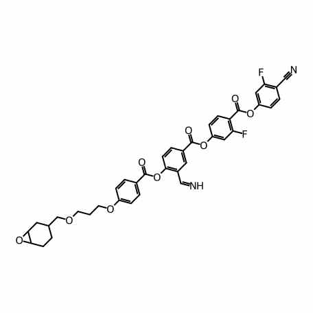 N#Cc1ccc(OC(=O)c2ccc(OC(=O)c3ccc(OC(=O)c4ccc(OCCCOCC5CCC6OC6C5)cc4)c(C=N)c3)cc2F)cc1F